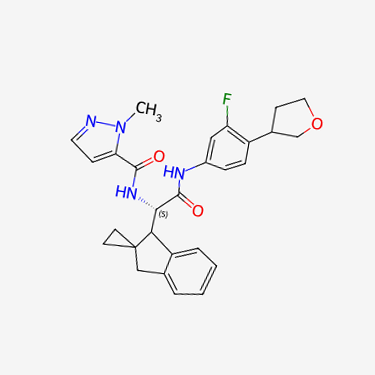 Cn1nccc1C(=O)N[C@H](C(=O)Nc1ccc(C2CCOC2)c(F)c1)C1c2ccccc2CC12CC2